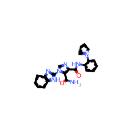 NC(=O)c1c(C(=O)Nc2ccccc2-n2cccc2)ncn1-c1nc2ccccc2[nH]1